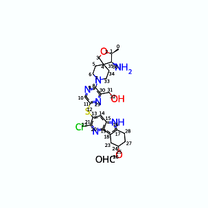 C[C@@H]1OCC2(CCN(c3ncc(Sc4cc5[nH]c6c(c5nc4Cl)CC(OC=O)CC6)nc3CO)CC2)[C@@H]1N